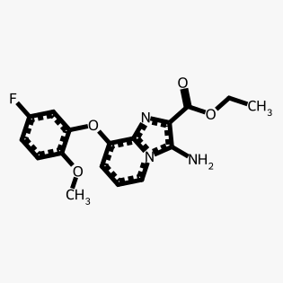 CCOC(=O)c1nc2c(Oc3cc(F)ccc3OC)cccn2c1N